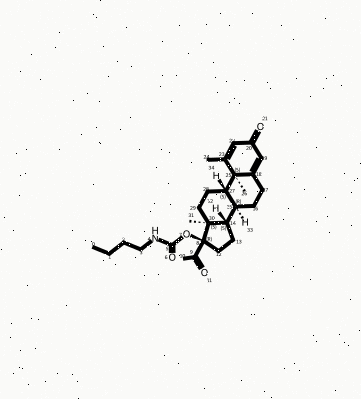 CCCCNC(=O)O[C@]1(C(C)=O)CC[C@H]2[C@@H]3CCC4=CC(=O)C=C(C)[C@]4(C)[C@H]3CC[C@@]21C